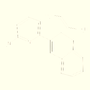 Nc1cccc(C2=Cc3ccccc3CC2)n1.O=C(O)/C=C/C(=O)O